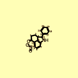 O=C1CCC2c3c(ccc([N+](=O)[O-])c31)NC2c1ccccc1